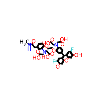 CNC(=O)Cc1ccc(OCCOc2cc(-c3c4cc(F)c(=O)cc-4oc4cc(O)c(F)cc34)ccc2N(CC(=O)O)CC(=O)O)c(N(CC(=O)O)CC(=O)O)c1